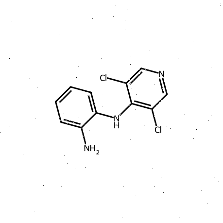 Nc1ccccc1Nc1c(Cl)cncc1Cl